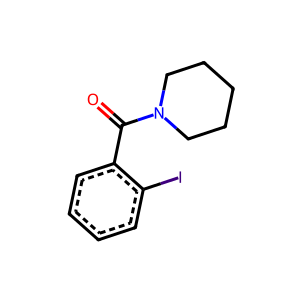 O=C(c1ccccc1I)N1CCCCC1